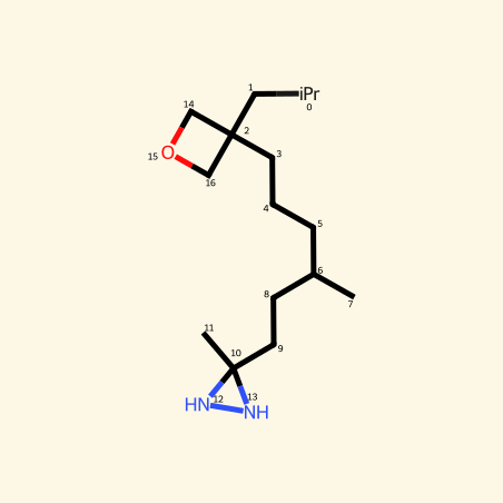 CC(C)CC1(CCCC(C)CCC2(C)NN2)COC1